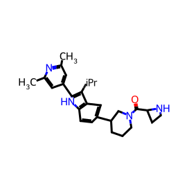 Cc1cc(-c2[nH]c3ccc(C4CCCN(C(=O)C5CCN5)C4)cc3c2C(C)C)cc(C)n1